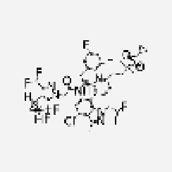 Cc1nn(CC(F)F)c2c(-c3ccc(CCC(C)(C)S(=O)(=O)C4CC4)nc3[C@H](Cc3cc(F)cc(F)c3)NC(=O)Cn3nc(C(F)F)c4c3C(F)(F)[C@@H]3C[C@H]43)ccc(Cl)c12